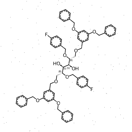 O[C@@H]([C@H](O)[C@@H](COCc1cc(OCc2ccccc2)cc(OCc2ccccc2)c1)OCc1ccc(F)cc1)[C@@H](COCc1cc(OCc2ccccc2)cc(OCc2ccccc2)c1)OCc1ccc(F)cc1